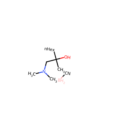 BC#N.CCCCCCC(C)(O)CN(C)C